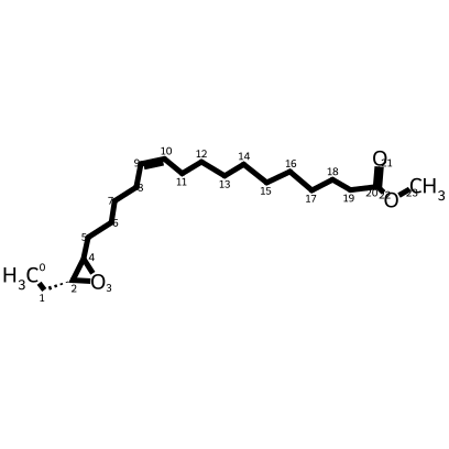 CC[C@H]1OC1CCCC/C=C\CCCCCCCCCC(=O)OC